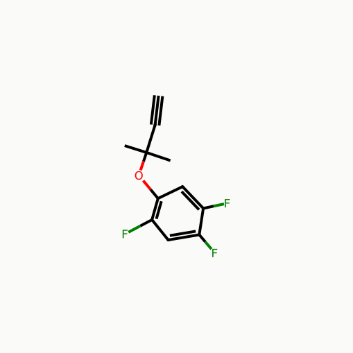 C#CC(C)(C)Oc1cc(F)c(F)cc1F